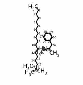 CCCCCCCCCCCCCCCC[N+](C)(C)C.CN[C@@H](C)Cc1ccccc1